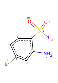 Nc1cc(Br)ccc1S(=O)(=O)I